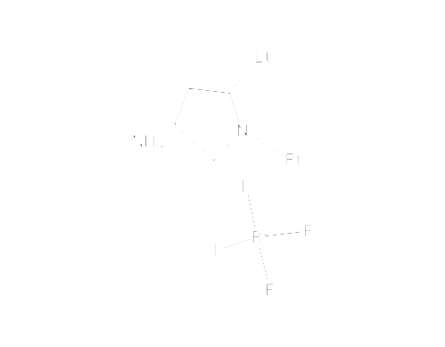 CCC1CCCN1CC.F[B-](F)(F)F.[NH4+]